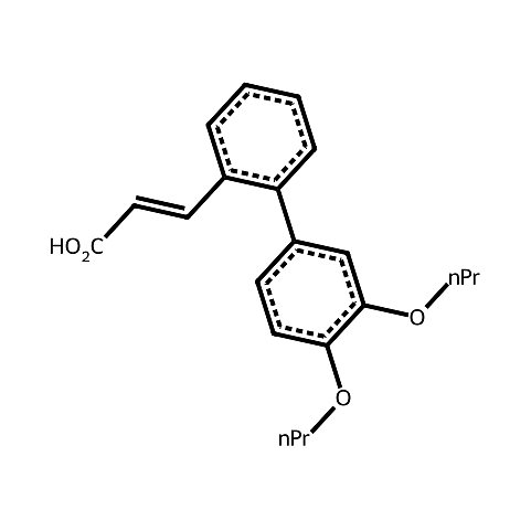 CCCOc1ccc(-c2ccccc2/C=C/C(=O)O)cc1OCCC